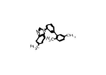 Cc1ccc(C)c(-c2cccc(-n3cnc4cc(C)ccc43)c2)c1